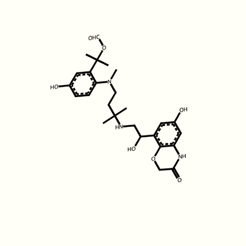 CN(CCC(C)(C)NCC(O)c1cc(O)cc2c1OCC(=O)N2)c1ccc(O)cc1C(C)(C)OC=O